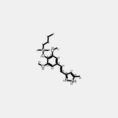 CCCC[Si](C)(C)Oc1c(OC)cc(C=Cc2cc(C)[nH]n2)cc1OC